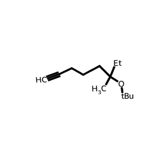 C#CCCCC(C)(CC)OC(C)(C)C